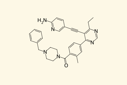 CCc1ncnc(-c2ccc(C(=O)N3CCN(Cc4ccccc4)CC3)c(C)c2)c1C#Cc1ccc(N)nc1